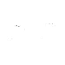 COC(=O)C1C(C)[C@]12CCOc1ccccc12